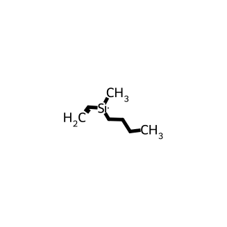 C=C[Si](C)CCCC